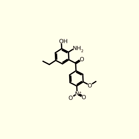 CCc1cc(O)c(N)c(C(=O)c2ccc([N+](=O)[O-])c(OC)c2)c1